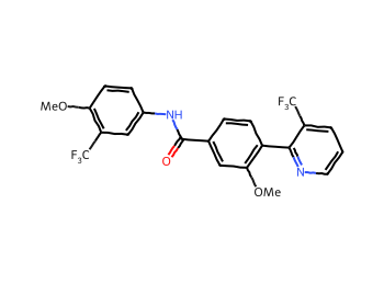 COc1cc(C(=O)Nc2ccc(OC)c(C(F)(F)F)c2)ccc1-c1ncccc1C(F)(F)F